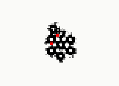 Cc1cc2c(c(-c3c(-c4ccccc4-c4ccccc4)cc(-c4ccccc4)c(-c4ccccc4)c3-c3ccnnn3)c1C)Cc1ccccc1-2